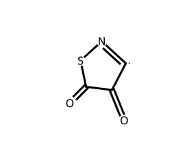 O=C1[C]=NSC1=O